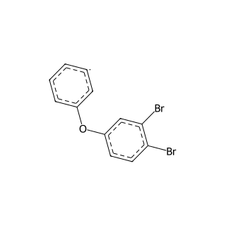 Brc1ccc(Oc2c[c]ccc2)cc1Br